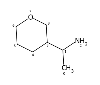 CC(N)C1CCCOC1